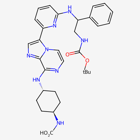 CC(C)(C)OC(=O)NCC(Nc1cccc(-c2cnc3c(N[C@H]4CC[C@H](NC(=O)O)CC4)nccn23)n1)c1ccccc1